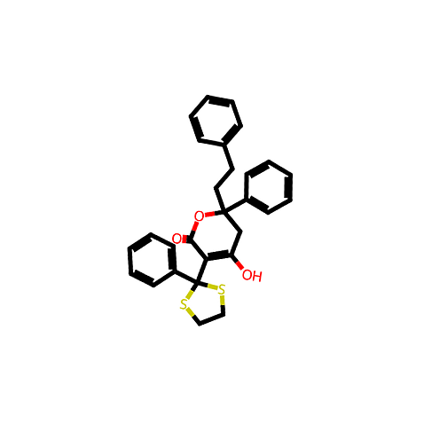 O=C1OC(CCc2ccccc2)(c2ccccc2)CC(O)=C1C1(c2ccccc2)SCCS1